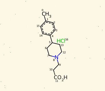 Cc1ccc(C2CCN(CCC(=O)O)CC2)cc1.Cl